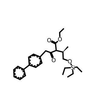 CCOC(=O)C(C(=O)Cc1ccc(-c2ccccc2)cc1)[C@@H](C)CO[Si](CC)(CC)CC